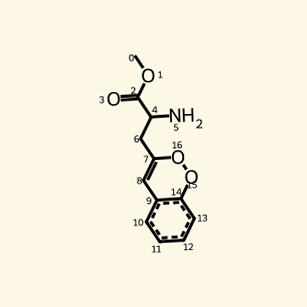 COC(=O)C(N)CC1=Cc2ccccc2OO1